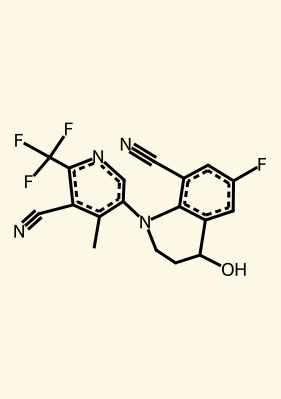 Cc1c(N2CCC(O)c3cc(F)cc(C#N)c32)cnc(C(F)(F)F)c1C#N